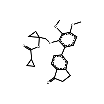 COc1ccc(-c2ccc3c(c2)CCC3=O)c(OCC2(OC(=O)C3CC3)CC2)c1OC